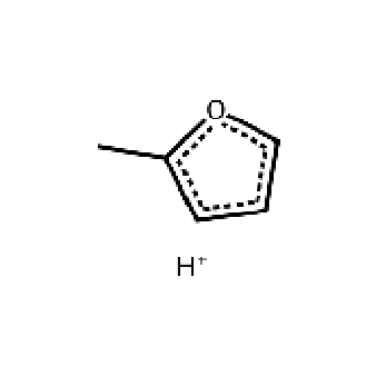 Cc1ccco1.[H+]